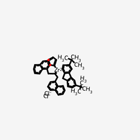 CC(C)(C)c1ccc2c(c1)-c1cc(C(C)(C)C)c[c]([Zr+2]([C]3=CC=CC3)=[C](Cc3cccc4ccccc34)Cc3cccc4ccccc34)c1C2.[Cl-].[Cl-]